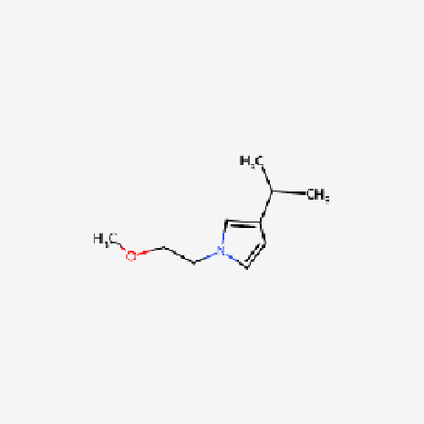 COCCn1ccc(C(C)C)c1